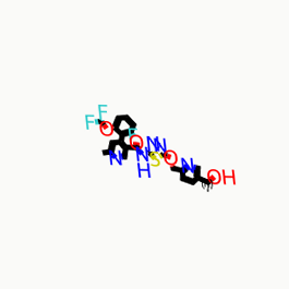 Cc1cc(-c2c(F)cccc2OC(F)F)c(C(=O)Nc2nnc(OCc3ccc([C@@H](C)O)cn3)s2)cn1